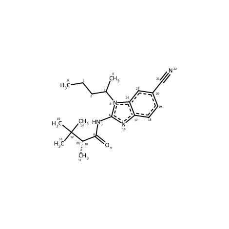 CCCC(C)n1c(NC(=O)[C@H](C)C(C)(C)C)nc2ccc(C#N)cc21